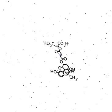 CN1CCC23c4c5ccc(O)c4OC2C(OC(=O)/C=C/C(=O)O[C@@H](CC(=O)O)C(=O)O)=CC[C@@]3(O)[C@H]1C5